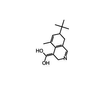 CC1=CC(C(C)(C)C)CC2=C1C(=C(O)O)CN=C2